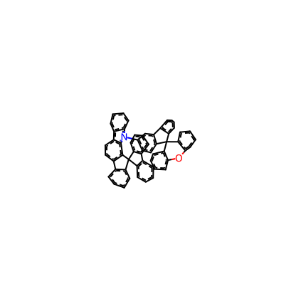 c1ccc2c(c1)Oc1ccccc1C21c2ccccc2-c2cc(-n3c4ccccc4c4ccc5c(c43)C3(c4ccccc4-c4ccccc43)c3ccccc3-5)ccc21